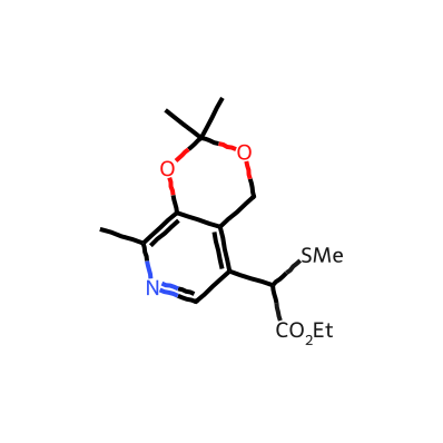 CCOC(=O)C(SC)c1cnc(C)c2c1COC(C)(C)O2